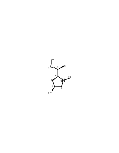 CO[C@@H](C)[C@@H]1C[C@H](F)CN1C